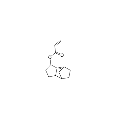 C=CC(=O)OC1CCC2C1=C1CCC2C1